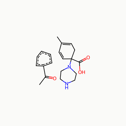 CC(=O)c1ccccc1.CC1=CCC(C(=O)O)(N2CCNCC2)C=C1